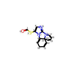 O=CSc1cnc2n1C1=CCC=CC13C=CC=CN23